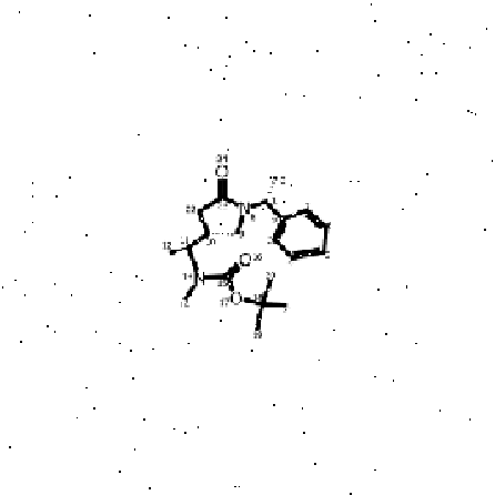 C[C@H](c1ccccc1)N1C[C@H]([C@H](C)N(C)C(=O)OC(C)(C)C)CC1=O